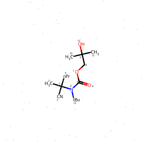 CCCC(C)(C#N)N(C(=O)OCC(C)(C)O)C(C)(C)C